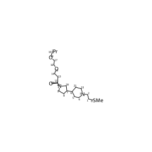 CSCCN1CCC(C2CCN(C(=O)CCOCCOC(C)C)C2)CC1